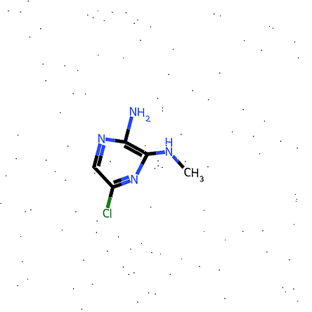 CNc1nc(Cl)cnc1N